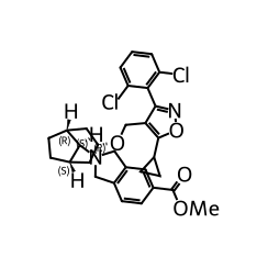 COC(=O)c1ccc2c(c1)CN([C@@H]1[C@@H]3CC[C@H]1C[C@@H](OCc1c(-c4c(Cl)cccc4Cl)noc1C1CC1)C3)C2